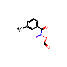 Cc1cccc(C(=O)N(I)OC=O)c1